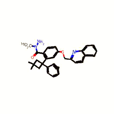 CC1(C)CC(c2ccccc2)(c2cc(OCc3ccc4ccccc4n3)ccc2C(=O)N(N)C(=O)O)C1